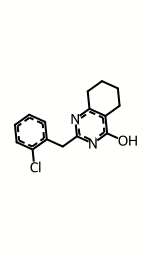 Oc1nc(Cc2ccccc2Cl)nc2c1CCCC2